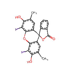 Cc1cc2c(c(I)c1O)Oc1c(cc(C)c(O)c1I)C21OC(=O)c2ccccc21